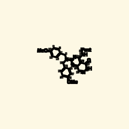 CCC[C@@H](C)Nc1nc(N(Cc2ccc(OC)cc2)Cc2ccc(OC)cc2)nc2cn[nH]c(=O)c12